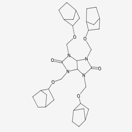 O=C1N(COC2CC3CCC2C3)C2C(N1COC1CC3CCC1C3)N(COC1CC3CCC1C3)C(=O)N2COC1CC2CCC1C2